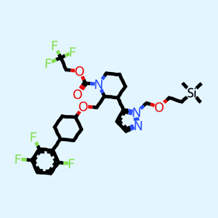 C[Si](C)(C)CCOCn1nccc1C1CCCN(C(=O)OCC(F)(F)F)C1COC1CCC(c2c(F)ccc(F)c2F)CC1